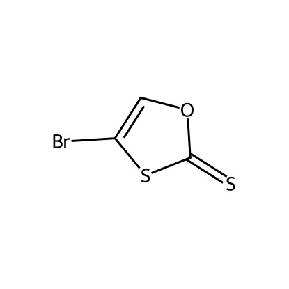 S=c1occ(Br)s1